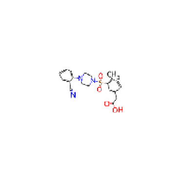 Cc1ccc(CC(=O)O)cc1S(=O)(=O)N1CCN(c2ccccc2C#N)CC1